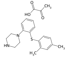 CC(=O)C(=O)O.Cc1ccc(Sc2ccccc2N2CCNCC2)c(C)c1